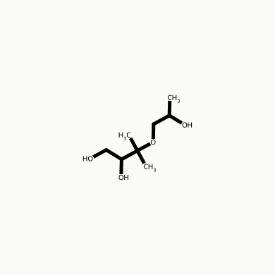 CC(O)COC(C)(C)C(O)CO